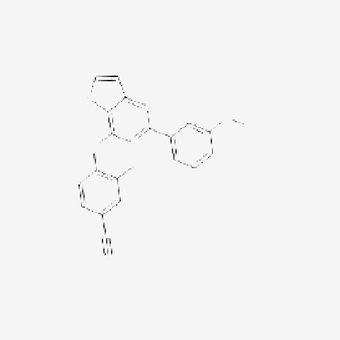 COc1cccc(-c2nc(Oc3ccc(C#N)cc3F)c3sccc3n2)c1